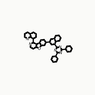 c1ccc(-c2nc(-c3ccccc3)nc(-c3cc(-c4ccc5c(c4)oc4ccnc(-c6cccc7cccnc67)c45)cc4ccccc34)n2)cc1